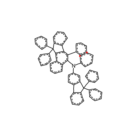 c1ccc(-c2c3c(c4ccccc4c2N(c2ccccc2)c2ccc4c(c2)C(c2ccccc2)(c2ccccc2)c2ccccc2-4)C(c2ccccc2)(c2ccccc2)c2ccccc2-3)cc1